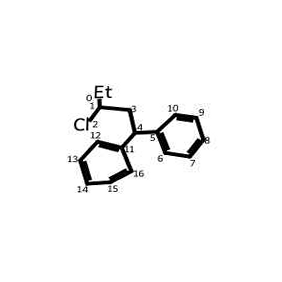 [CH2]CC(Cl)CC(c1ccccc1)c1ccccc1